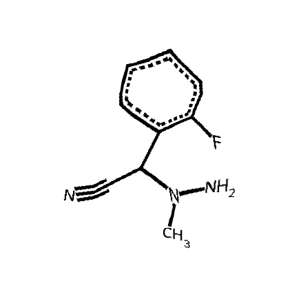 CN(N)C(C#N)c1ccccc1F